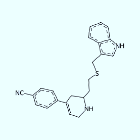 N#Cc1ccc(C2=CCNC(CCSCc3c[nH]c4ccccc34)C2)cc1